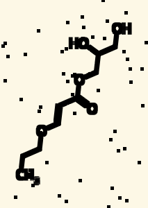 CCCOC=CC(=O)OCC(O)CO